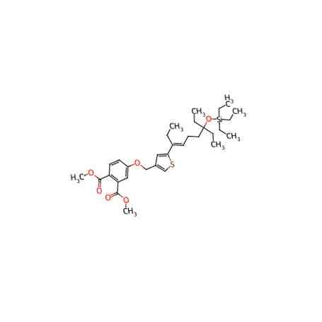 CC/C(=C\CCC(CC)(CC)O[Si](CC)(CC)CC)c1cc(COc2ccc(C(=O)OC)c(C(=O)OC)c2)cs1